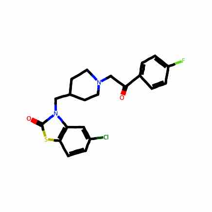 O=C(CN1CCC(Cn2c(=O)sc3ccc(Cl)cc32)CC1)c1ccc(F)cc1